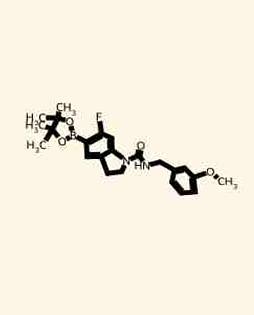 COc1cccc(CNC(=O)N2CCc3cc(B4OC(C)(C)C(C)(C)O4)c(F)cc32)c1